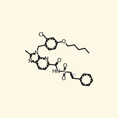 CCCCCOc1ccc(Cn2c(C)nc3ccc(C(=O)NS(=O)(=O)/C=C/c4ccccc4)nc32)c(Cl)c1